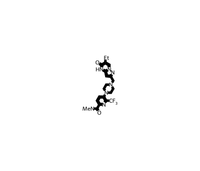 CCc1cn2nc(CN3CCN(c4ccc(C(=O)NC)nc4C(F)(F)F)CC3)cc2[nH]c1=O